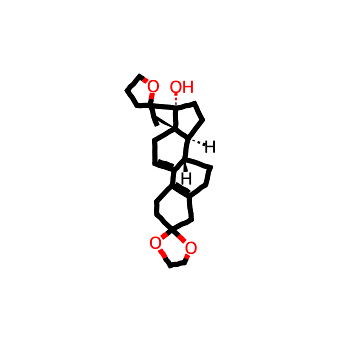 CC1([C@@]2(O)CC[C@H]3[C@@H]4CCC5=C(CCC6(C5)OCCO6)C4=CC[C@@]32C)CCCO1